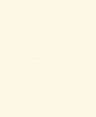 Cc1ccc(C(CC(=O)O)c2ccn3c(C(F)F)nnc3c2C)cc1CN1CC2(CC2)Oc2ncccc2S1(=O)=O